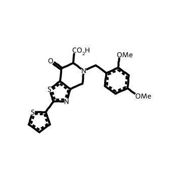 COc1ccc(CN2Cc3nc(-c4cccs4)sc3C(=O)C2C(=O)O)c(OC)c1